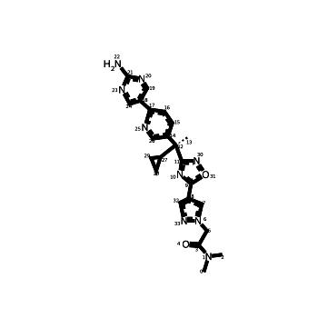 CN(C)C(=O)Cn1cc(-c2nc([C@](C)(c3ccc(-c4cnc(N)nc4)nc3)C3CC3)no2)cn1